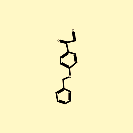 O=CC(=O)c1ccc(OCc2ccccc2)cc1